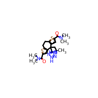 C[C@@H](N)CC1(c2nn[nH]n2)c2cc(C(=O)N(C)C)sc2CCc2sc(C(=O)N(C)C)cc21